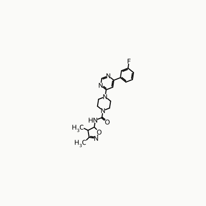 CC1=NOC(NC(=O)N2CCN(c3cc(-c4cccc(F)c4)ncn3)CC2)C1C